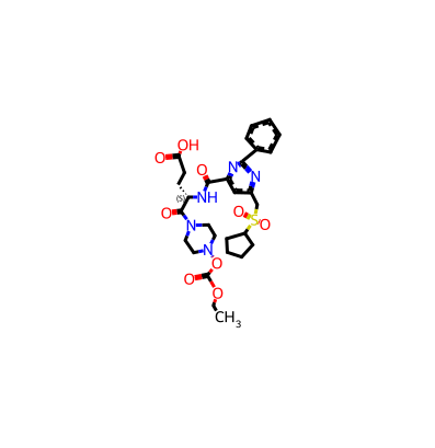 CCOC(=O)ON1CCN(C(=O)[C@H](CCC(=O)O)NC(=O)c2cc(CS(=O)(=O)C3CCCC3)nc(-c3ccccc3)n2)CC1